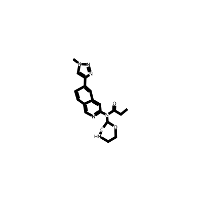 CCC(=O)N(c1cc2cc(-c3cn(C)nn3)ccc2cn1)C1CNCCO1